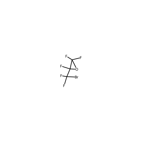 FC(F)(Br)C1(F)OC1(F)F